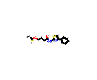 CC(C)C(=S)OCCCC(=O)Nc1nc(-c2ccccc2)cs1